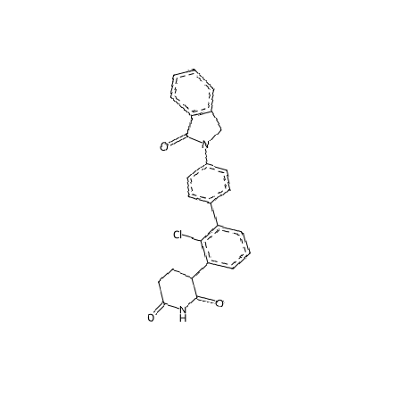 O=C1CCC(c2cccc(-c3ccc(N4Cc5ccccc5C4=O)cc3)c2Cl)C(=O)N1